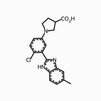 Cc1ccc2[nH]c(-c3cc(N4CCC(C(=O)O)C4)ccc3Cl)nc2c1